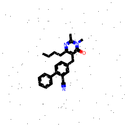 CCCCc1nc(C)n(C)c(=O)c1Cc1ccc(-c2ccccc2)c(C#N)c1